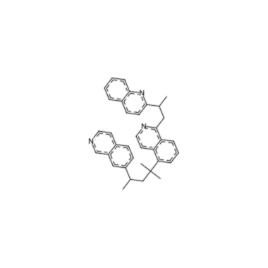 CC(CC(C)(C)c1cccc2c(CC(C)c3ccc4ccccc4n3)nccc12)c1ccc2ccncc2c1